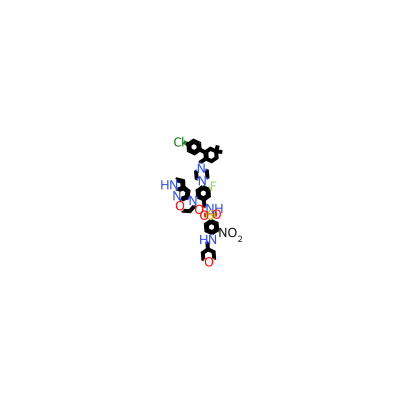 CC1(C)CCC(CN2CCN(c3cc(N4CCCOc5nc6[nH]ccc6cc54)c(C(=O)NS(=O)(=O)c4ccc(NCC5CCOCC5)c([N+](=O)[O-])c4)cc3F)CC2)=C(c2ccc(Cl)cc2)C1